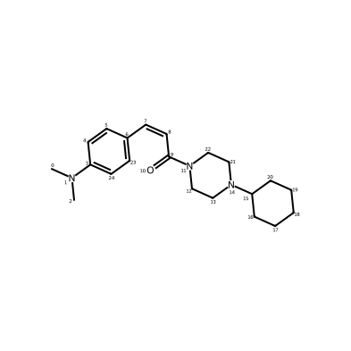 CN(C)c1ccc(/C=C\C(=O)N2CCN(C3CCCCC3)CC2)cc1